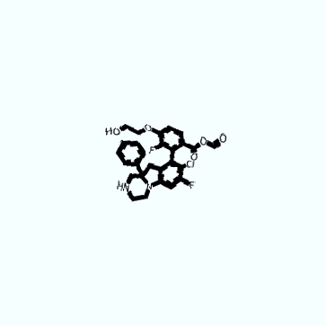 O=COC(=O)c1ccc(OCCO)c(F)c1-c1c(Cl)c(F)cc2c1CC1(c3ccccc3)CNCCN21